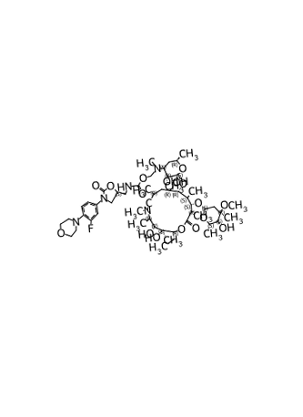 CC[C@H]1OC(=O)[C@H](C)[C@@H](O[C@@H]2C[C@@](C)(OC)[C@@H](O)[C@H](C)O2)[C@H](C)[C@@H](O[C@@H]2O[C@H](C)C[C@H](N(C)COC(=O)NC[C@H]3CN(c4ccc(N5CCOCC5)c(F)c4)C(=O)O3)[C@H]2O)[C@](C)(O)C[C@@H](C)CN(C)[C@H](C)[C@@H](O)[C@]1(C)O